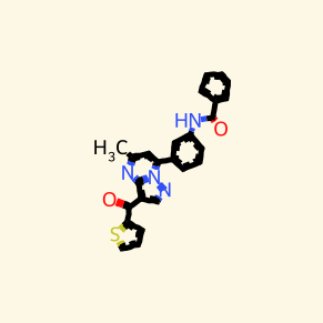 Cc1cc(-c2cccc(NC(=O)c3ccccc3)c2)n2ncc(C(=O)c3cccs3)c2n1